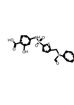 O=CN(Cc1ccc(S(=O)(=O)Nc2ccc(C(=O)O)c(O)c2)s1)c1ccccc1